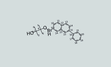 CC(C)(O)C(C)(C)OBc1ccc2ccc(-c3ccccc3)cc2c1